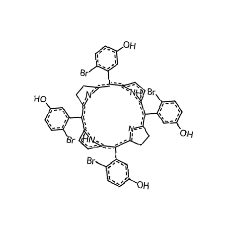 Oc1ccc(Br)c(-c2c3nc(c(-c4cc(O)ccc4Br)c4ccc([nH]4)c(-c4cc(O)ccc4Br)c4nc(c(-c5cc(O)ccc5Br)c5ccc2[nH]5)CC4)CC3)c1